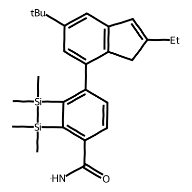 CCC1=Cc2cc(C(C)(C)C)cc(-c3ccc(C([NH])=O)c4c3[Si](C)(C)[Si]4(C)C)c2C1